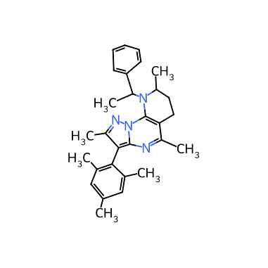 Cc1cc(C)c(-c2c(C)nn3c4c(c(C)nc23)CCC(C)N4C(C)c2ccccc2)c(C)c1